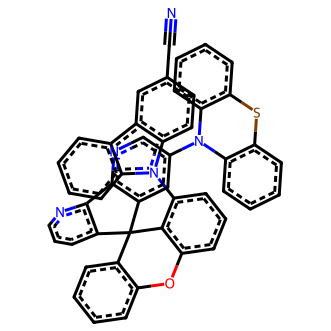 N#Cc1ccc2c(c1)c1ccccc1n2-c1cccc2c1C1(c3ccccc3O2)c2cccnc2-c2ncc(N3c4ccccc4Sc4ccccc43)cc21